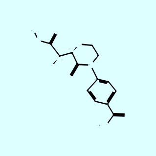 COC(=O)c1ccc(N2CCO[C@H]([C@@H](O)C(=O)OC(C)(C)C)C2=O)cc1